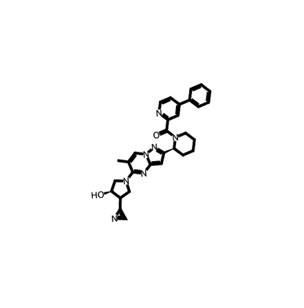 Cc1cn2nc([C@@H]3CCCCN3C(=O)c3cc(-c4ccccc4)ccn3)cc2nc1N1CC(C2=C=N2)[C@@H](O)C1